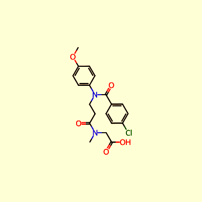 COc1ccc(N(CCC(=O)N(C)CC(=O)O)C(=O)c2ccc(Cl)cc2)cc1